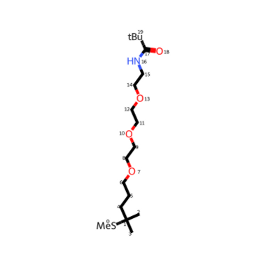 CSC(C)(C)CCCOCCOCCOCCNC(=O)C(C)(C)C